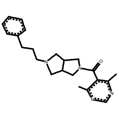 Cc1ncnc(C)c1C(=O)N1CC2CN(CCCc3ccccc3)CC2C1